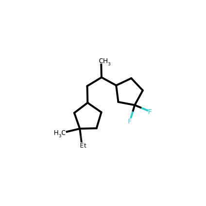 CCC1(C)CCC(CC(C)C2CCC(F)(F)C2)C1